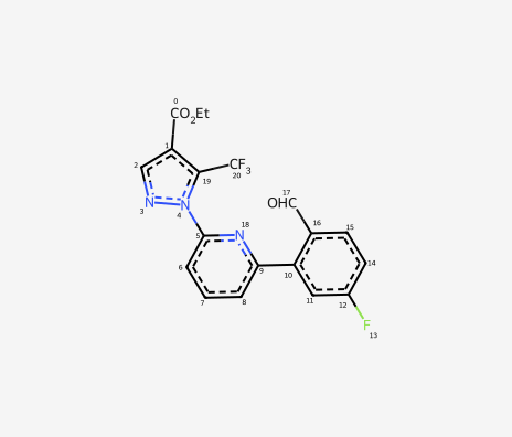 CCOC(=O)c1cnn(-c2cccc(-c3cc(F)ccc3C=O)n2)c1C(F)(F)F